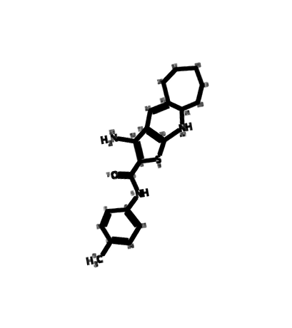 Cc1ccc(NC(=O)c2sc3c(c2N)C=C2CCCCCC2N3)cc1